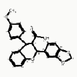 COc1ccc(C2c3ccccc3OC(c3ccc4c(c3)OCO4)C2C(=O)O)cc1